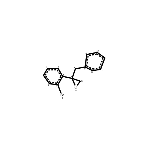 Brc1ccccc1C1(Cc2ccccc2)CO1